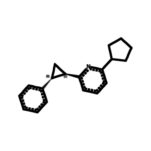 c1ccc([C@@H]2C[C@H]2c2cccc(C3CCCC3)n2)cc1